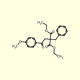 CCOC(=O)C(CC(=O)c1ccc(OC)cc1)(Cc1ccccc1)C(=O)OCC